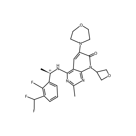 Cc1nc(N[C@H](C)c2cccc(C(F)F)c2F)c2cc(N3CCOCC3)c(=O)n(C3COC3)c2n1